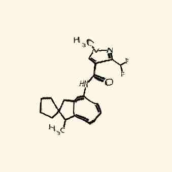 CC1c2cccc(NC(=O)c3cn(C)nc3C(F)F)c2CC12CCCC2